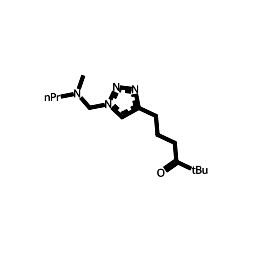 CCCN(C)Cn1cc(CCCC(=O)C(C)(C)C)nn1